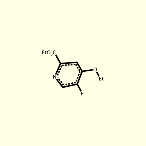 CCOC(=O)c1cc(OCC)c(F)cn1